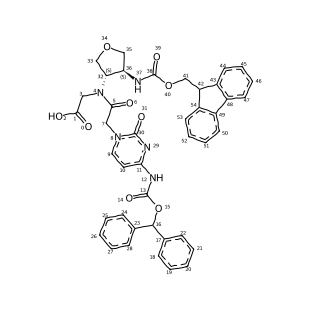 O=C(O)CN(C(=O)Cn1ccc(NC(=O)OC(c2ccccc2)c2ccccc2)nc1=O)[C@@H]1COC[C@H]1NC(=O)OCC1c2ccccc2-c2ccccc21